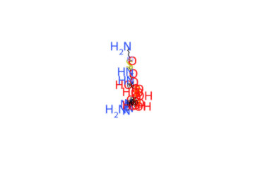 CC(C)(COP(=O)(O)OP(=O)(O)OC[C@H]1O[C@@H](n2cnc3c(N)ncnc32)[C@H](O)[C@@H]1OP(=O)(O)O)[C@@H](O)C(=O)NCCC(=O)NCCSSC(=O)/C=C/CCCCN